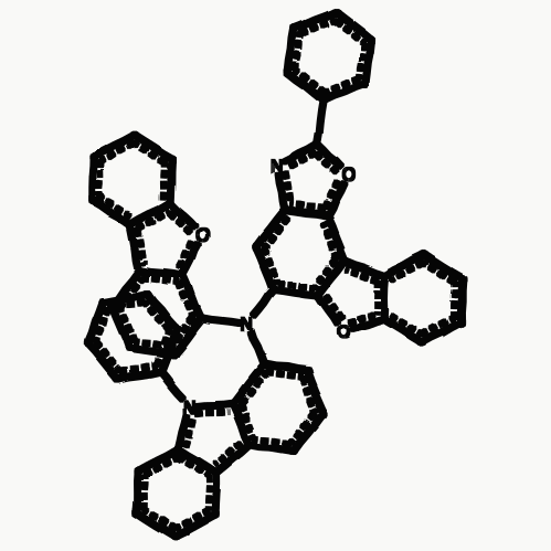 c1ccc(-c2nc3cc(N(c4cccc5c4oc4ccccc45)c4cccc5c6ccccc6n(-c6ccccc6)c45)c4oc5ccccc5c4c3o2)cc1